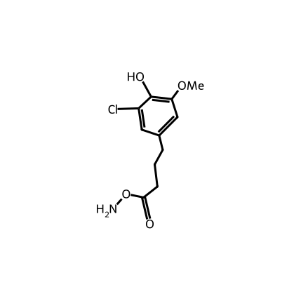 COc1cc(CCCC(=O)ON)cc(Cl)c1O